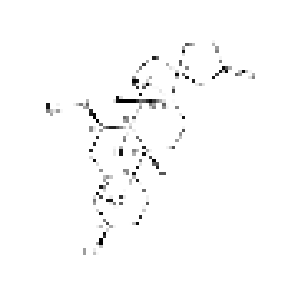 CS[C@@H]1CC2=C[C@H](O)CC[C@]2(C)[C@H]2CC[C@@]3(C)[C@@H](CC[C@@]34CCC(=O)O4)[C@H]12